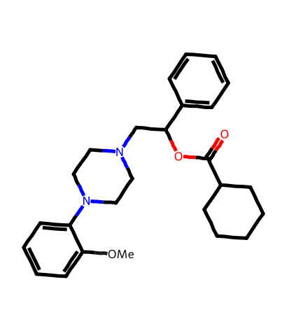 COc1ccccc1N1CCN(CC(OC(=O)C2CCCCC2)c2ccccc2)CC1